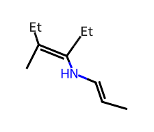 C/C=C/N/C(CC)=C(\C)CC